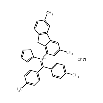 Cc1ccc([C](c2ccc(C)cc2)=[Ti+2]([C]2=CC=CC2)[c]2cc(C)cc3c2Cc2ccc(C)cc2-3)cc1.[Cl-].[Cl-]